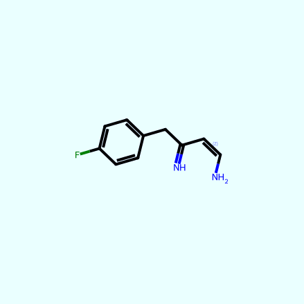 N=C(/C=C\N)Cc1ccc(F)cc1